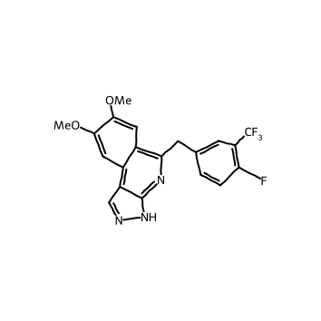 COc1cc2c(Cc3ccc(F)c(C(F)(F)F)c3)nc3[nH]ncc3c2cc1OC